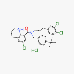 CC(C)(C)c1ccc(CN(CCCc2ccc(Cl)c(Cl)c2)C(=O)c2cc(Cl)cc3c2NCCC3)cc1.Cl